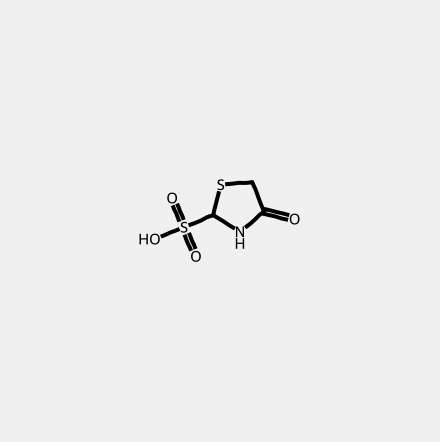 O=C1CS[C](S(=O)(=O)O)N1